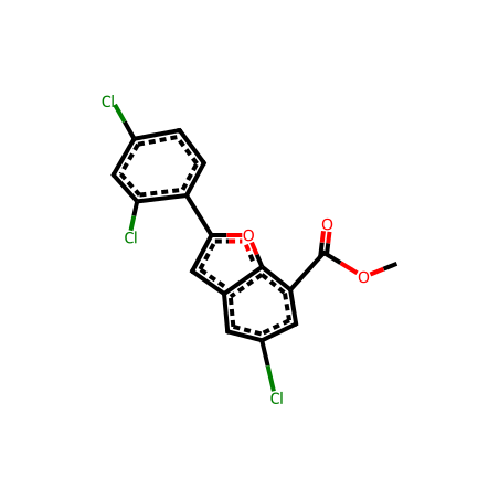 COC(=O)c1cc(Cl)cc2cc(-c3ccc(Cl)cc3Cl)oc12